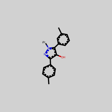 Cc1ccc(-c2nn(C(C)C)c(-c3cccc(C)c3)c2O)cc1